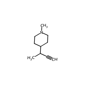 C#CC(C)C1CCN(C)CC1